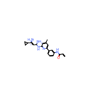 C=CC(=O)Nc1cccc(-c2cc(C)cc(NC(N)/C=C(\N)C3CC3)n2)c1